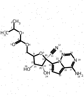 CC(C)OC(=O)OCC1O[C@@](C#N)(c2ccc3c(N)ncnn23)[C@H](O)[C@@H]1O